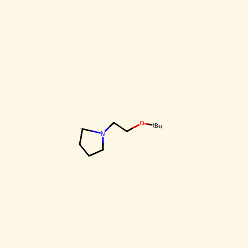 CC(C)(C)OCCN1[CH]CCC1